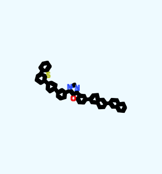 c1cc(-c2ccc(-c3cccc4c3sc3ccccc34)cc2)cc(-c2ncnc3c2oc2ccc(-c4ccc5cc(-c6ccc7ccccc7c6)ccc5c4)cc23)c1